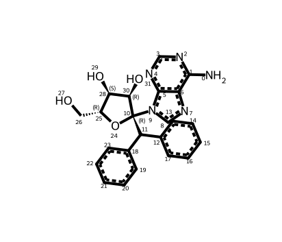 Nc1ncnc2c1ncn2[C@]1(C(c2ccccc2)c2ccccc2)O[C@H](CO)[C@@H](O)[C@H]1O